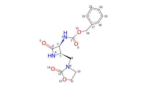 O=C(N[C@@H]1C(=O)N[C@@H]1CN1CCOC1=O)OCc1ccccc1